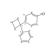 Clc1ccc(C2(c3c[c]ccc3)CCC2)cc1